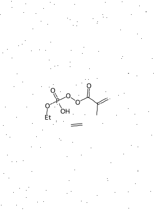 C=C.C=C(C)C(=O)OOP(=O)(O)OCC